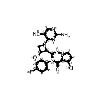 CC1CN(c2nc(N)ncc2C#N)C1c1nn2ccc(Cl)c2c(=O)n1-c1ccc(F)cc1